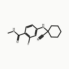 CNC(=O)c1ccc(NC2(C#N)CCCCC2)cc1F